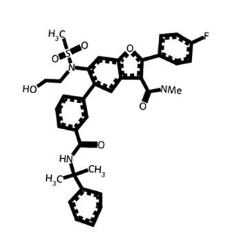 CNC(=O)c1c(-c2ccc(F)cc2)oc2cc(N(CCO)S(C)(=O)=O)c(-c3cccc(C(=O)NC(C)(C)c4ccccc4)c3)cc12